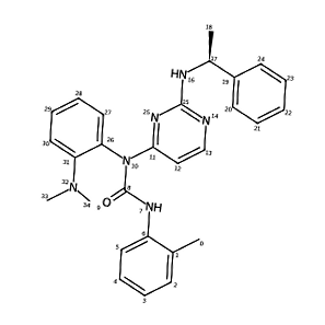 Cc1ccccc1NC(=O)N(c1ccnc(N[C@@H](C)c2ccccc2)n1)c1ccccc1N(C)C